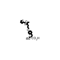 CCC(C)OC(Cc1ccc(OCCCc2nc(-c3cccs3)oc2C)cc1)C(=O)O